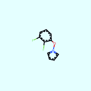 Fc1cccc(On2c[c]cc2)c1F